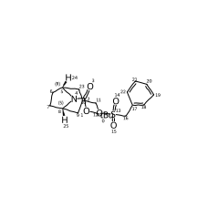 CC(C)(C)OC(=O)N1[C@@H]2CC[C@H]1CC(COS(=O)(=O)Cc1ccccc1)C2